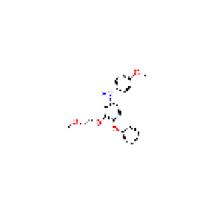 COCCOc1cc(Nc2ccc(OC)cc2)ccc1Oc1ccccc1